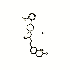 COc1ccccc1C1CC[N+](C)(CC(O)COc2ccc3c(c2)NC(=O)CC3)CC1.[Cl-]